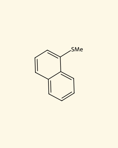 [CH2]Sc1cccc2ccccc12